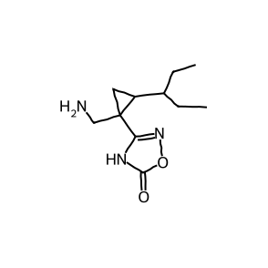 CCC(CC)C1CC1(CN)c1noc(=O)[nH]1